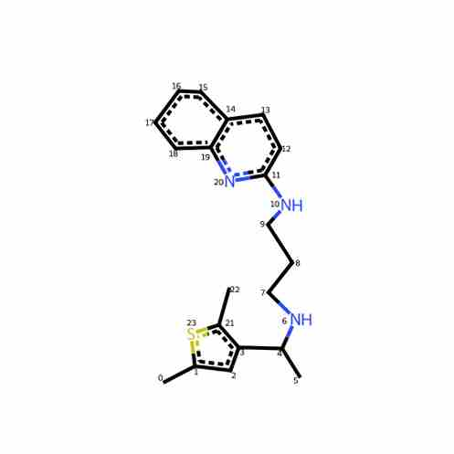 Cc1cc(C(C)NCCCNc2ccc3ccccc3n2)c(C)s1